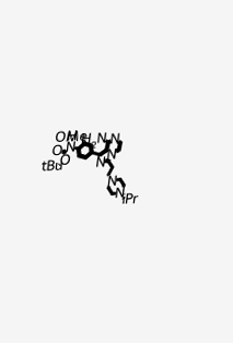 COc1cc(-c2nc(CCN3CCN(C(C)C)CC3)n3ccnc(N)c23)ccc1NC(=O)OC(C)(C)C